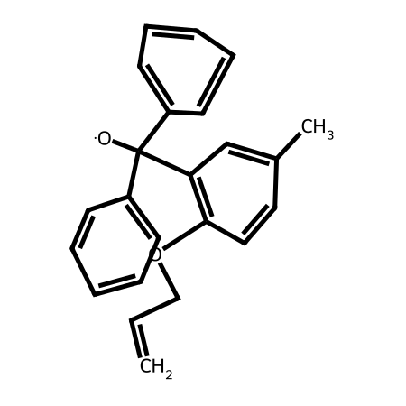 C=CCOc1ccc(C)cc1C([O])(c1ccccc1)c1ccccc1